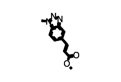 COC(=O)C=Cc1ccc2c(c1)nnn2C